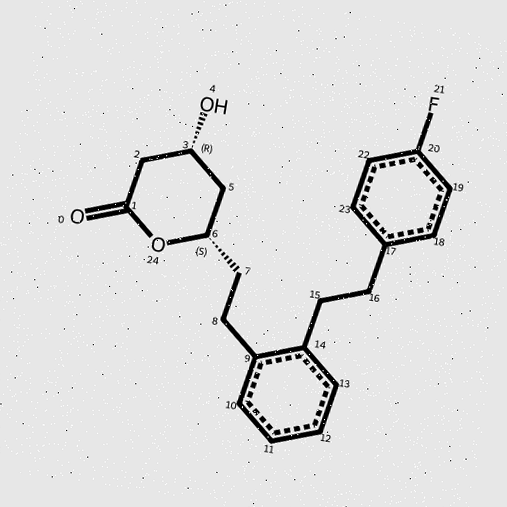 O=C1C[C@H](O)C[C@H](CCc2ccccc2CCc2ccc(F)cc2)O1